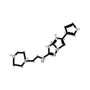 c1cc(-c2cn3nc(NCCN4CCOCC4)sc3n2)cs1